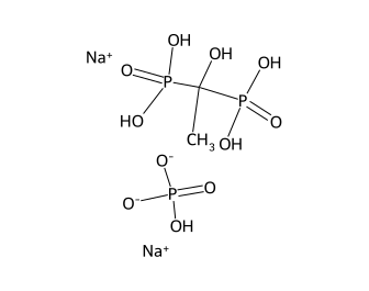 CC(O)(P(=O)(O)O)P(=O)(O)O.O=P([O-])([O-])O.[Na+].[Na+]